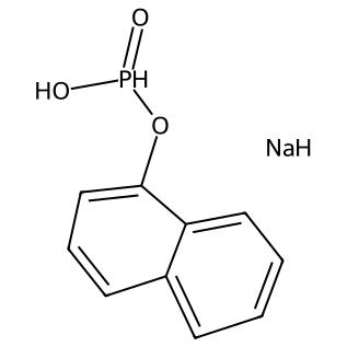 O=[PH](O)Oc1cccc2ccccc12.[NaH]